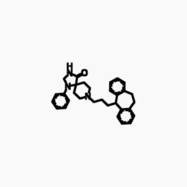 O=C1NCN(c2ccccc2)C12CCN(CCCC1c3ccccc3CCc3ccccc31)CC2